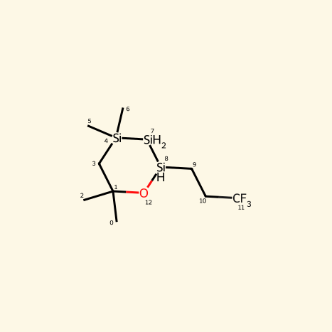 CC1(C)C[Si](C)(C)[SiH2][SiH](CCC(F)(F)F)O1